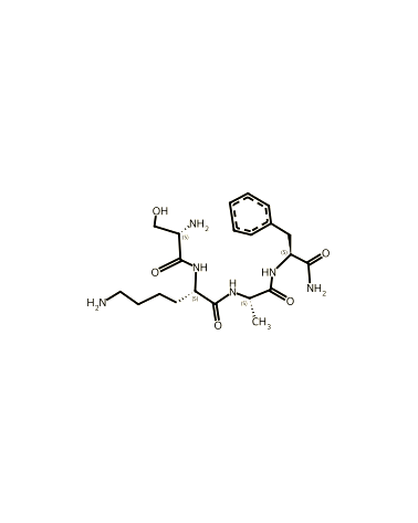 C[C@H](NC(=O)[C@H](CCCCN)NC(=O)[C@@H](N)CO)C(=O)N[C@@H](Cc1ccccc1)C(N)=O